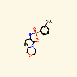 CC(C)CC(NS(=O)(=O)c1cccc([N+](=O)[O-])c1)C(=O)N1CCOCC1